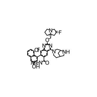 CNC(=O)c1cc2c(N3CCC4CNC(C4)C3)nc(OC[C@@]34CCCN3C[C@H](F)C4)nc2c(F)c1-c1cc(O)cc2cccc(Cl)c12